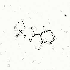 CC(NC(=O)c1ccccc1O)C(F)(F)F